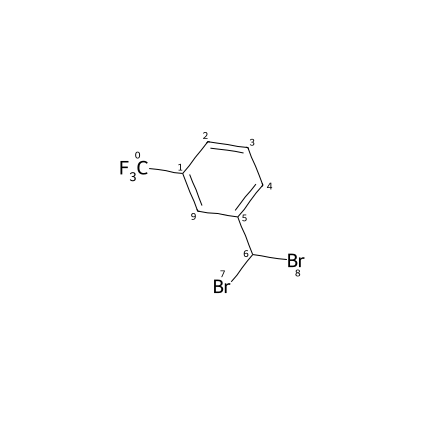 FC(F)(F)c1cccc(C(Br)Br)c1